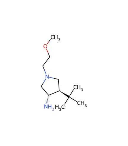 COCCN1C[C@@H](N)[C@H](C(C)(C)C)C1